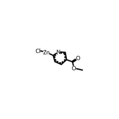 COC(=O)c1cc[c]([Zn][Cl])nc1